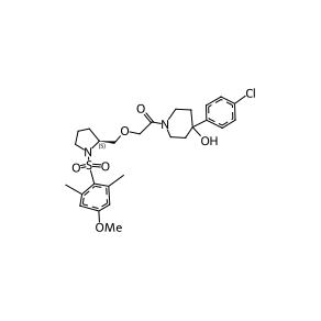 COc1cc(C)c(S(=O)(=O)N2CCC[C@H]2COCC(=O)N2CCC(O)(c3ccc(Cl)cc3)CC2)c(C)c1